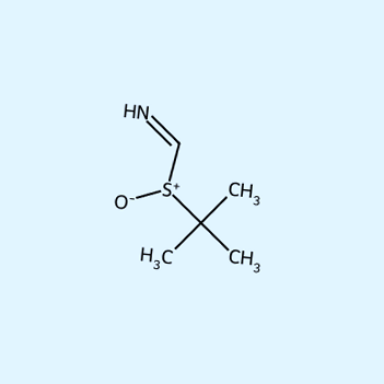 CC(C)(C)[S+]([O-])C=N